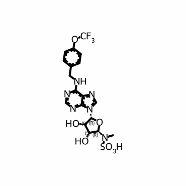 CN([C@@H]1O[C@@H](n2cnc3c(NCc4ccc(OC(F)(F)F)cc4)ncnc32)[C@H](O)[C@@H]1O)S(=O)(=O)O